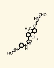 Cc1c(OCCCNCC=O)cccc1-c1cccc(C2=NN=C(Nc3cccc(CNCCO)c3)C2)c1C